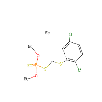 CCOP(=S)(OCC)SCSc1cc(Cl)ccc1Cl.[Fe]